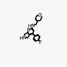 Fc1ccc(-c2cc(NCC3CCOCC3)nc3c2CNC3)cc1